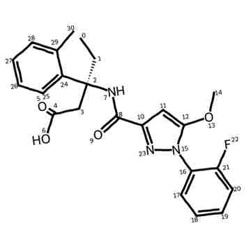 CC[C@@](CC(=O)O)(NC(=O)c1cc(OC)n(-c2ccccc2F)n1)c1ccccc1C